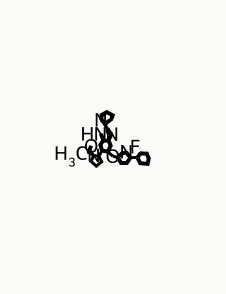 CC(=O)N1CCCC1c1cc2[nH]c(-c3ccccn3)nc2cc1Oc1ccc(-c2ccccc2F)nc1